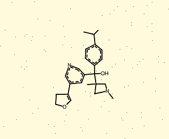 CC(C)c1ccc(C(O)(c2cncc(C3=COCC3)c2)C2(C)CN(C)C2)cc1